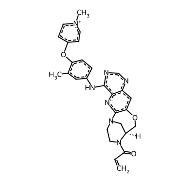 C=CC(=O)N1CCN2C[C@H]1COc1cc3ncnc(Nc4ccc(Oc5cc[n+](C)cc5)c(C)c4)c3nc12